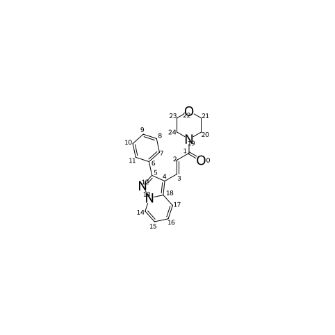 O=C(/C=C/c1c(-c2ccccc2)nn2ccccc12)N1CCOCC1